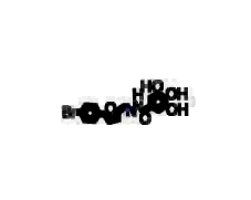 O=C(N/N=C/c1ccc(-c2ccc(Br)cc2)o1)c1cc(O)c(O)c(O)c1